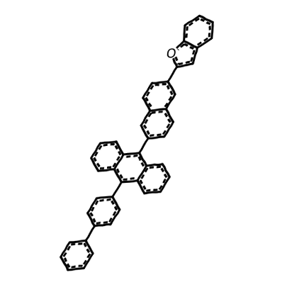 c1ccc(-c2ccc(-c3c4ccccc4c(-c4ccc5cc(-c6cc7ccccc7o6)ccc5c4)c4ccccc34)cc2)cc1